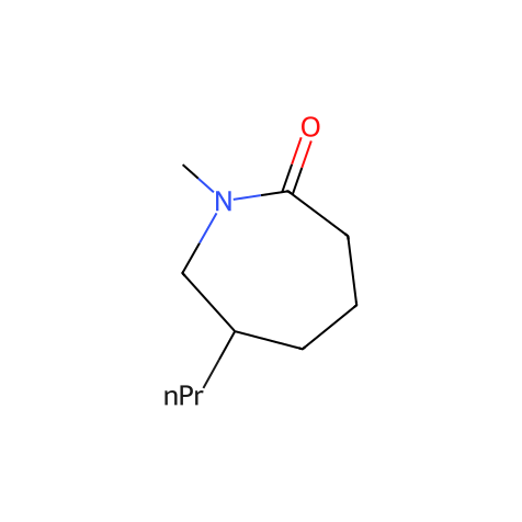 CCCC1CCCC(=O)N(C)C1